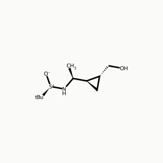 C[C@H](N[S@+]([O-])C(C)(C)C)[C@@H]1C[C@H]1CO